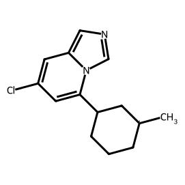 C[C]1CCCC(c2cc(Cl)cc3cncn23)C1